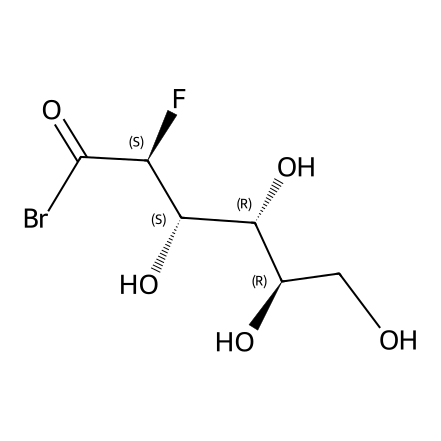 O=C(Br)[C@@H](F)[C@@H](O)[C@H](O)[C@H](O)CO